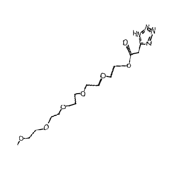 COCCOCCOCCOCCOCCOC(=O)Cc1nnn[nH]1